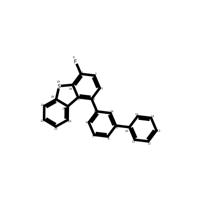 Fc1ccc(-c2cccc(-c3ccccc3)c2)c2c1sc1ccccc12